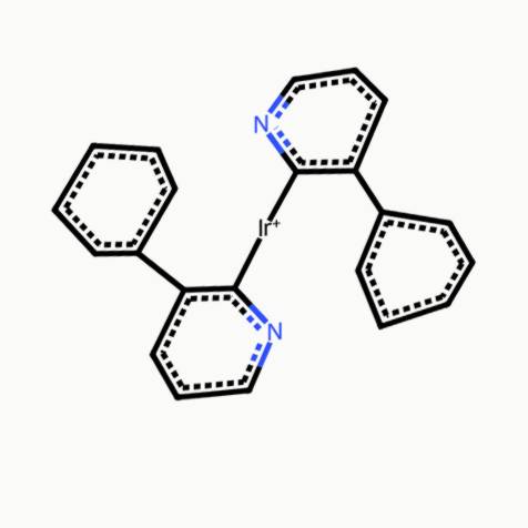 c1ccc(-c2cccn[c]2[Ir+][c]2ncccc2-c2ccccc2)cc1